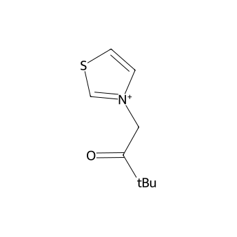 CC(C)(C)C(=O)C[n+]1ccsc1